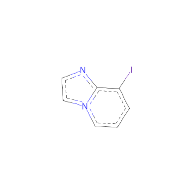 Ic1cccn2ccnc12